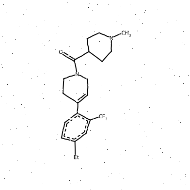 CCc1ccc(C2=CCN(C(=O)C3CCN(C)CC3)CC2)c(C(F)(F)F)c1